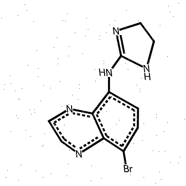 Brc1ccc(NC2=NCCN2)c2nccnc12